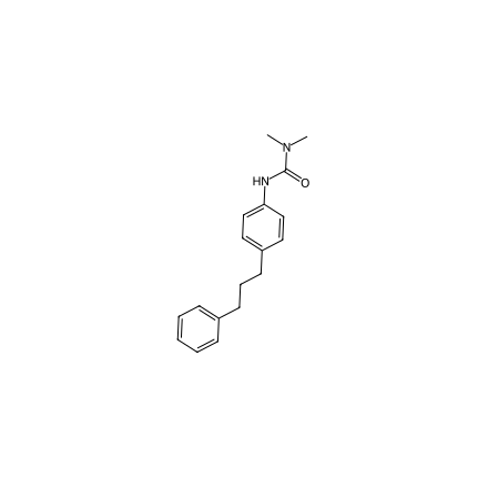 CN(C)C(=O)Nc1ccc(CCCc2ccccc2)cc1